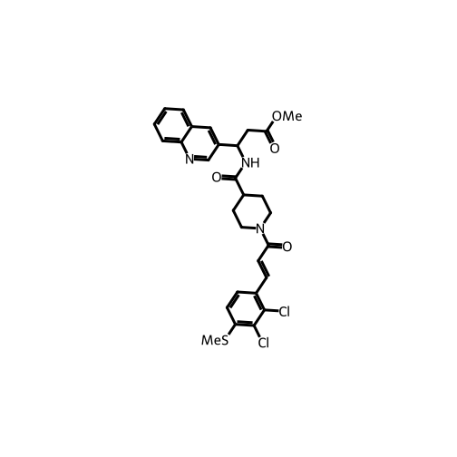 COC(=O)CC(NC(=O)C1CCN(C(=O)/C=C/c2ccc(SC)c(Cl)c2Cl)CC1)c1cnc2ccccc2c1